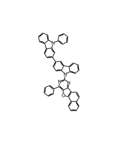 c1ccc(-c2nc(-n3c4ccccc4c4cc(-c5ccc6c7ccccc7n(-c7ccccc7)c6c5)ccc43)nc3c2oc2c4ccccc4ccc32)cc1